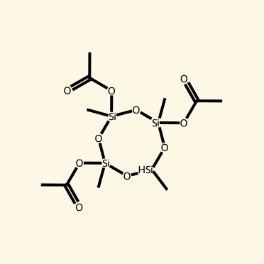 CC(=O)O[Si]1(C)O[SiH](C)O[Si](C)(OC(C)=O)O[Si](C)(OC(C)=O)O1